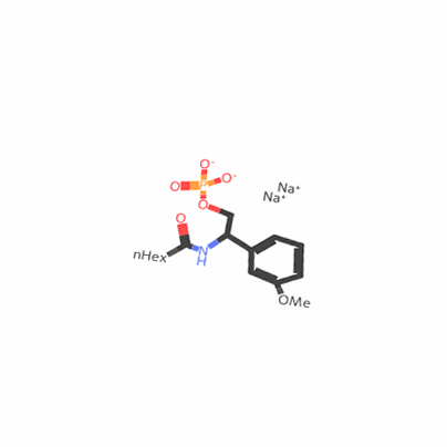 CCCCCCC(=O)NC(COP(=O)([O-])[O-])c1cccc(OC)c1.[Na+].[Na+]